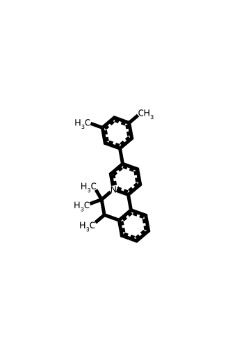 Cc1cc(C)cc(-c2ccc3[n+](c2)C(C)(C)C(C)c2ccccc2-3)c1